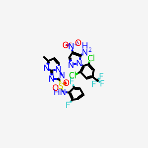 Cc1ccn2nc(S(=O)(=O)Nc3c(F)cccc3F)nc2n1.Nc1c([N+](=O)[O-])cnn1-c1c(Cl)cc(C(F)(F)F)cc1Cl